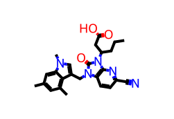 CCCC(CC(=O)O)n1c(=O)n(Cc2cn(C)c3cc(C)cc(C)c23)c2ccc(C#N)nc21